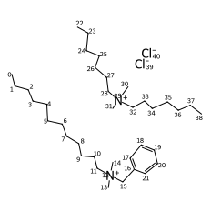 CCCCCCCCCCCC[N+](C)(C)Cc1ccccc1.CCCCCCC[N+](C)(C)CCCCCCC.[Cl-].[Cl-]